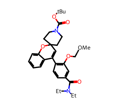 CCN(CC)C(=O)c1ccc(C2=CC3(CCN(C(=O)OC(C)(C)C)CC3)Oc3ccccc32)c(OCOC)c1